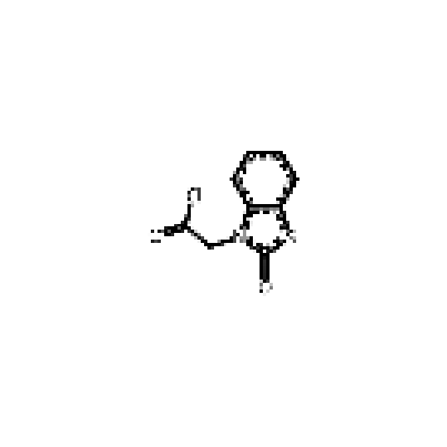 O=C(Cl)Cn1c(=O)sc2ccccc21